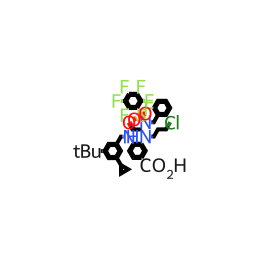 CC(C)(C)c1cc(CN(C(=O)CN(Cc2ccccc2F)S(=O)(=O)c2c(F)c(F)c(F)c(F)c2F)c2ccc(C(=O)O)cc2NCCCCl)cc(C2CC2)c1